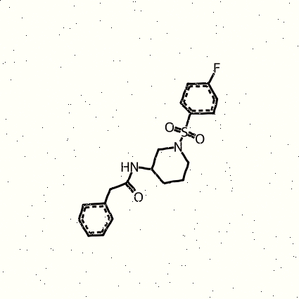 O=C(Cc1ccccc1)NC1CCCN(S(=O)(=O)c2ccc(F)cc2)C1